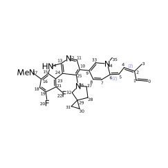 C=C/C(C)=C\C=C1\C=CC(c2cnc3[nH]c4c(NC)cc(F)c(F)c4c3c2N2CCC3(CC3)C2)=CN1C